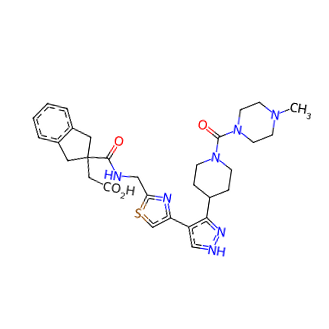 CN1CCN(C(=O)N2CCC(c3n[nH]cc3-c3csc(CNC(=O)C4(CC(=O)O)Cc5ccccc5C4)n3)CC2)CC1